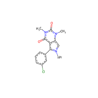 CCCn1cc2c(c1-c1cccc(Cl)c1)c(=O)n(C)c(=O)n2C